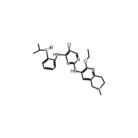 CCOc1nc2c(cc1Nc1ncc(Cl)c(Nc3ccccc3[S+]([O-])C(C)C)n1)CN(C)CC2